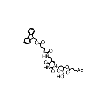 CC(=O)CCC(=O)OC1C[C@H](n2cc(CNC(=O)CCCC(=O)OCC3c4ccccc4-c4ccccc43)c(=O)[nH]c2=O)O[C@@H]1CO